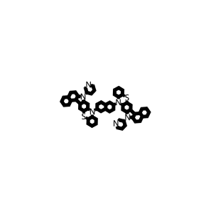 c1cncc(-n2c3cc4c(cc3c3c5ccccc5ccc32)Sc2ccccc2N4c2ccc3cc(N4c5ccccc5Sc5cc6c7c8ccccc8ccc7n(-c7cccnc7)c6cc54)ccc3c2)c1